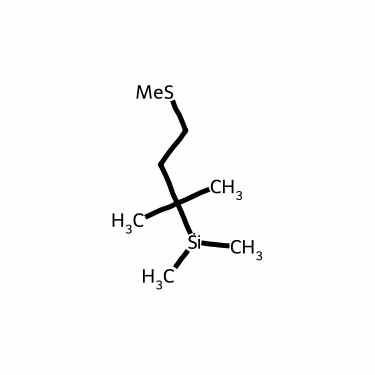 CSCCC(C)(C)[Si](C)C